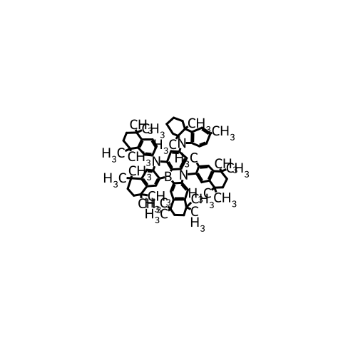 Cc1ccc2c(c1)C1(C)CCCCC1(C)N2c1cc2c3c(c1)N(c1cc4c(cc1C)C(C)(C)CCC4(C)C)c1cc4c(cc1B3c1cc3c(cc1N2c1ccc2c(c1)C(C)(C)CCC2(C)C)C(C)(C)CCC3(C)C)C(C)(C)CCC4(C)C